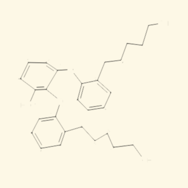 CCCCCCc1ccccc1Oc1cccc(O)c1Oc1ccccc1CCCCCC